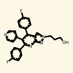 OCCCn1cc2c(-c3ccc(F)cc3)c(-c3ccncc3)c(-c3ccc(F)cc3)nc2n1